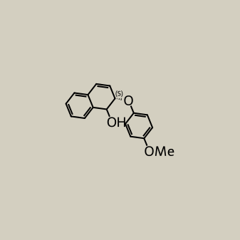 COc1ccc(O[C@H]2C=Cc3ccccc3C2O)cc1